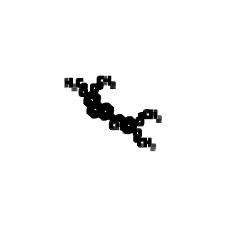 C=COc1ccc(/C=C(\C)c2ccc3c(ccc4cc(OC=C)c(OC=C)cc43)c2)cc1OC=C